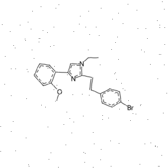 CCn1cc(-c2ccccc2OC)nc1C=Cc1ccc(Br)cc1